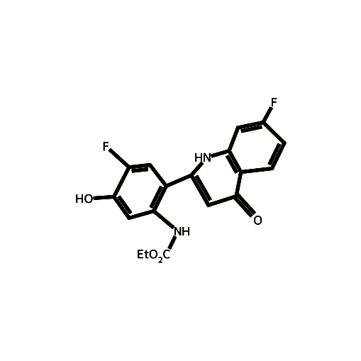 CCOC(=O)Nc1cc(O)c(F)cc1-c1cc(=O)c2ccc(F)cc2[nH]1